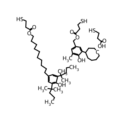 CCCC(C)(C)c1cc(CCCCCCCCCCOC(=O)CCS)cc(C(C)(C)CCC)c1O.Cc1cc(COC(=O)CCS)cc(C2CCCCCCC2)c1O.O=C(O)CCS